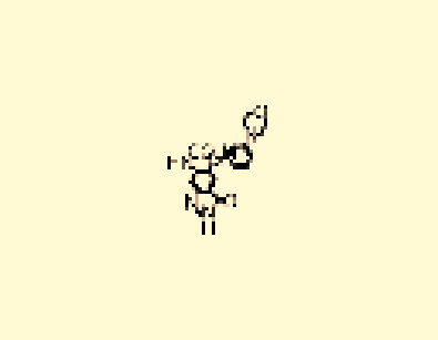 O=C(O)Nc1cc2nc[nH]c(=O)c2cc1Oc1cccc(N2CCOCC2)c1